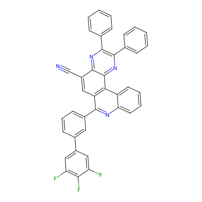 N#Cc1cc2c(-c3cccc(-c4cc(F)c(F)c(F)c4)c3)nc3ccccc3c2c2nc(-c3ccccc3)c(-c3ccccc3)nc12